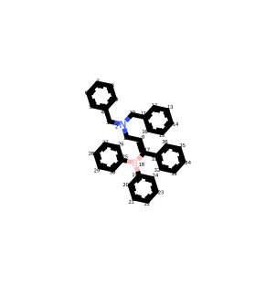 C(CN(Cc1ccccc1)Cc1ccccc1)=C(B(c1ccccc1)c1ccccc1)c1ccccc1